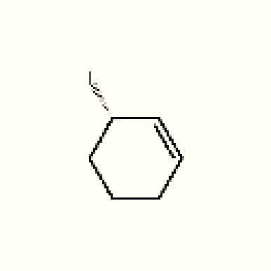 I[C@@H]1C=CCCC1